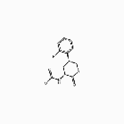 O=C(O)N[C@H]1C[C@@H](c2ccccc2F)CNC1=O